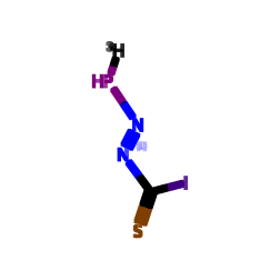 [3H]P/N=N/C(=S)I